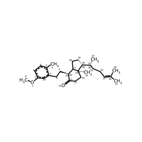 COc1ccc(C)c(CC[C@@H]2C(=O)CC[C@@]3(C)C2CC[C@@H]3[C@H](C)CCC=C(C)C)c1